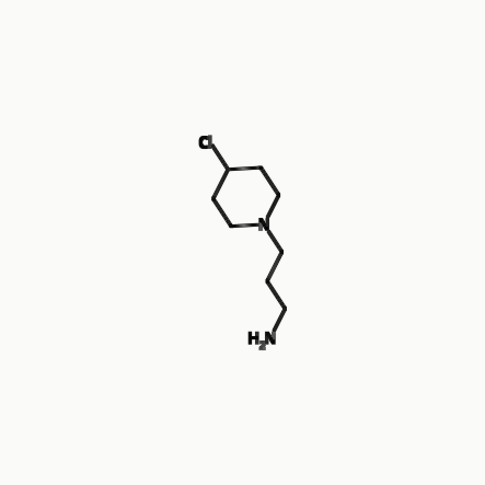 NCCCN1CCC(Cl)CC1